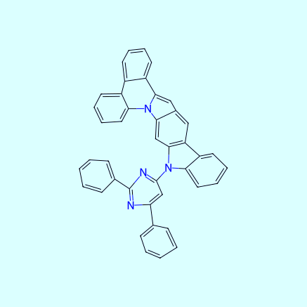 c1ccc(-c2cc(-n3c4ccccc4c4cc5cc6c7ccccc7c7ccccc7n6c5cc43)nc(-c3ccccc3)n2)cc1